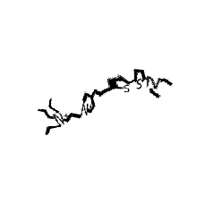 CCC[N+](CCC)(CCC)CCC[n+]1ccc(/C=C/c2ccc(-c3ccc(N(CC)CC)s3)s2)cc1